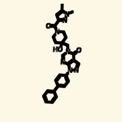 Cc1cc(C(=O)N2CCC(O)(Cn3cnc4c(cnn4-c4ccc(-c5ccccc5)cc4)c3=O)CC2)nn1C